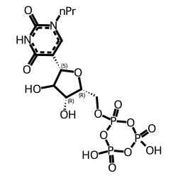 CCCn1cc([C@@H]2O[C@H](COP3(=O)OP(=O)(O)OP(=O)(O)O3)[C@H](O)C2O)c(=O)[nH]c1=O